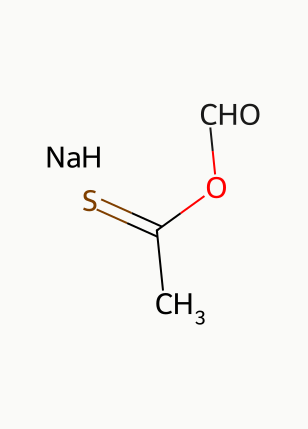 CC(=S)OC=O.[NaH]